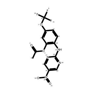 CC(=O)Oc1cc(OC(F)(F)F)ccc1Nc1ncc([N+](=O)[O-])cn1